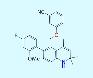 COc1cc(F)ccc1-c1ccc2c(c1COc1cccc(C#N)c1)C(C)=CC(C)(C)N2